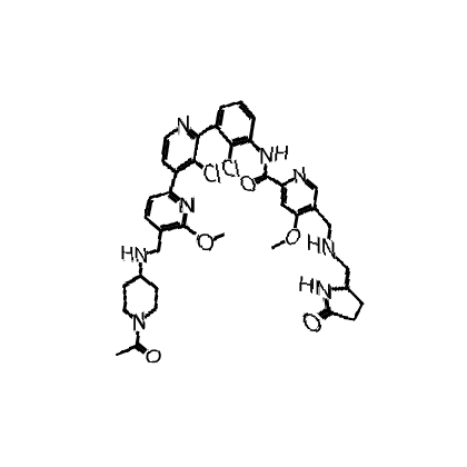 COc1cc(C(=O)Nc2cccc(-c3nccc(-c4ccc(CNC5CCN(C(C)=O)CC5)c(OC)n4)c3Cl)c2Cl)ncc1CNCC1CCC(=O)N1